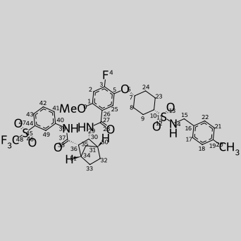 COc1cc(F)c(O[C@H]2CC[C@@H](S(=O)(=O)NCc3ccc(C)cc3)CC2)cc1C(=O)N[C@@H]1[C@@H]2CC[C@@H](C2)[C@@H]1C(=O)Nc1cccc(S(=O)(=O)C(F)(F)F)c1